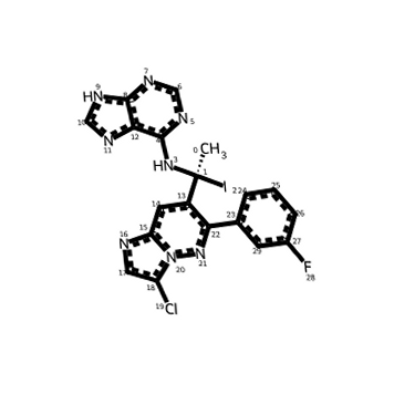 C[C@@](I)(Nc1ncnc2[nH]cnc12)c1cc2ncc(Cl)n2nc1-c1cccc(F)c1